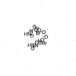 COc1nc(OCc2cccc(-c3cccc(COc4nc(OC)c(CN5CCNC(=O)C5)cc4Br)c3C)c2C)c(Br)cc1CN1CCNC(=O)C1